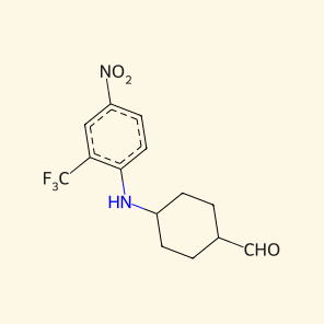 O=CC1CCC(Nc2ccc([N+](=O)[O-])cc2C(F)(F)F)CC1